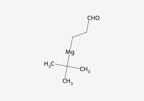 C[C](C)(C)[Mg][CH2]CC=O